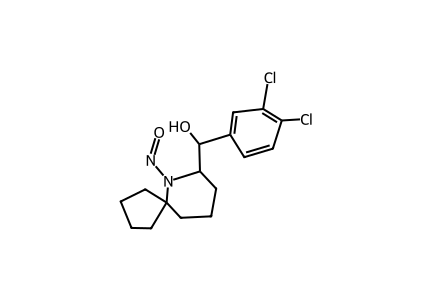 O=NN1C(C(O)c2ccc(Cl)c(Cl)c2)CCCC12CCCC2